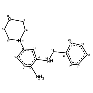 Nc1ccc(N2CCOCC2)cc1NCc1ccccn1